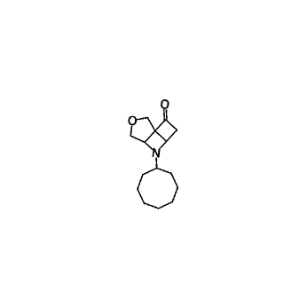 O=C1CC2N(C3CCCCCCC3)C3COCC132